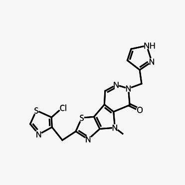 Cn1c2nc(Cc3ncsc3Cl)sc2c2cnn(Cc3cc[nH]n3)c(=O)c21